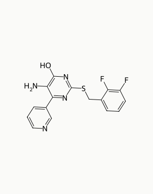 Nc1c(O)nc(SCc2cccc(F)c2F)nc1-c1cccnc1